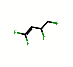 FCC(F)C=C(F)F